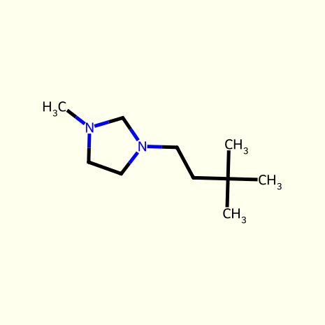 CN1CCN(CCC(C)(C)C)C1